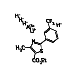 CCOC(=O)c1sc(-c2cccc(C(F)(F)F)c2)nc1C.[Al+3].[H-].[H-].[H-].[H-].[Li+]